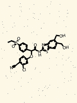 CCS(=O)(=O)c1ccc(C(Oc2ccc(C#N)c(Cl)c2)C(=O)Nc2nc3cc(CO)c(CO)cc3s2)cc1